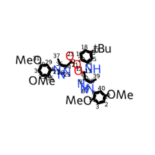 COc1ccc(OC)c(-n2nnc(C(=O)Nc3cc(C(C)(C)C)ccc3OC(=O)c3nnn(-c4cc(OC)ccc4OC)c3C)c2C)c1